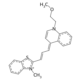 COCCN1C=CC(=CC=Cc2sc3ccccc3[n+]2C)c2ccccc21